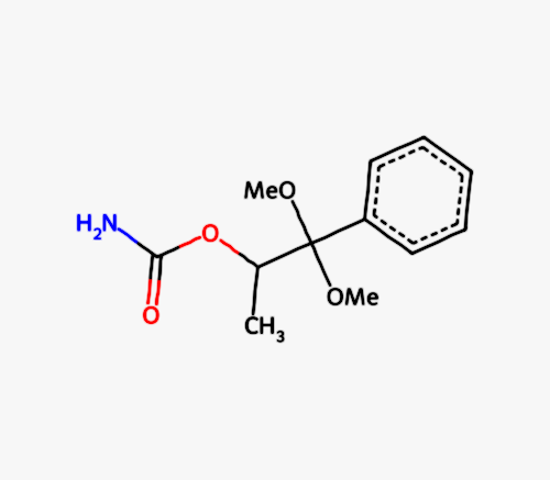 COC(OC)(c1ccccc1)C(C)OC(N)=O